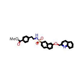 COC(=O)c1ccc(CCNS(=O)(=O)c2ccc3ccc(OCc4ccc5ccccc5n4)cc3c2)cc1